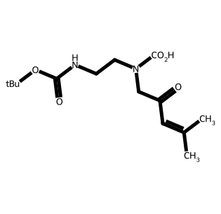 CC(C)=CC(=O)CN(CCNC(=O)OC(C)(C)C)C(=O)O